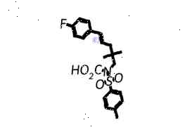 Cc1ccc(S(=O)(=O)N(CC(C)(C)C/C=C/c2ccc(F)cc2)C(=O)O)cc1